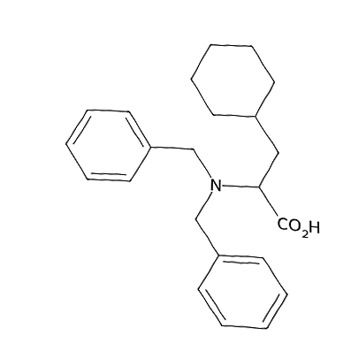 O=C(O)C(CC1CCCCC1)N(Cc1ccccc1)Cc1ccccc1